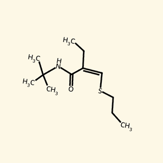 CCCSC=C(CC)C(=O)NC(C)(C)C